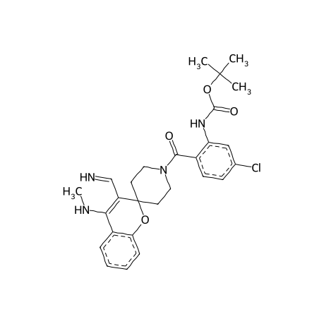 CNC1=C(C=N)C2(CCN(C(=O)c3ccc(Cl)cc3NC(=O)OC(C)(C)C)CC2)Oc2ccccc21